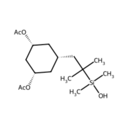 CC(=O)O[C@@H]1C[C@H](CC(C)(C)[Si](C)(C)O)C[C@H](OC(C)=O)C1